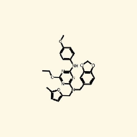 CCOc1nc(Nc2ccc(OC)cc2)nc(N(Cc2ccc3c(c2)OCO3)Cc2ccc(C)o2)n1